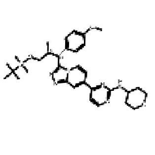 COc1ccc([C@H](c2nnc3cc(-c4ccnc(NC5CCOCC5)n4)ccn23)[C@H](C)CO[Si](C)(C)C(C)(C)C)cc1